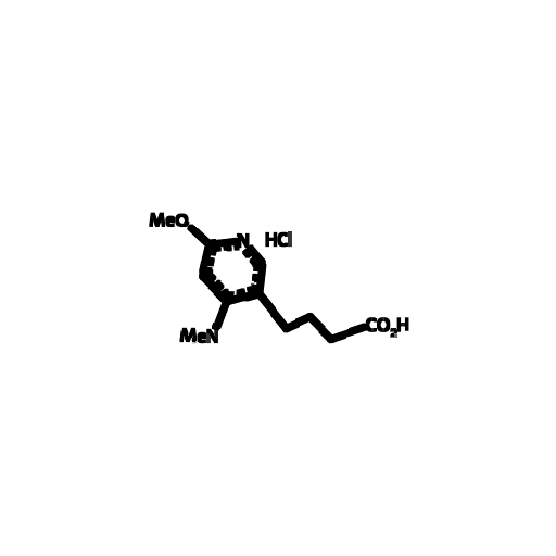 CNc1cc(OC)ncc1CCCC(=O)O.Cl